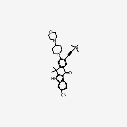 CC1(C)c2cc(N3CCC(N4CCOCC4)CC3)c(C#C[Si](C)(C)C)cc2C(=O)c2c1[nH]c1cc(C#N)ccc21